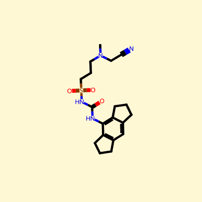 CN(CC#N)CCCS(=O)(=O)NC(=O)Nc1c2c(cc3c1CCC3)CCC2